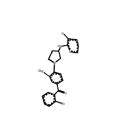 CCc1ccccc1C(=O)c1ccc(N2CCC(Nc3ncccc3Cl)C2)c(C=O)c1